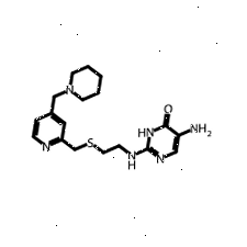 Nc1cnc(NCCSCc2cc(CN3CCCCC3)ccn2)[nH]c1=O